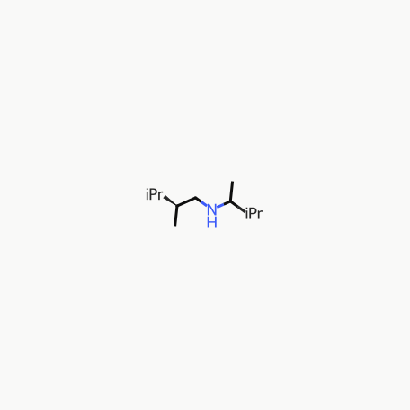 CC(C)C(C)NC[C@@H](C)C(C)C